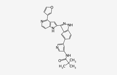 CC(C)(C)C(=O)Nc1cncc(-c2ccc3[nH]nc(-c4cc5c(-c6ccoc6)nccc5[nH]4)c3c2)c1